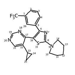 FC(F)(F)c1cccc(-c2nc(N3CCCCC3)sc2-c2n[c]ncc2C2CC2)c1